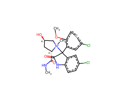 CNC(=O)[C@@H]1C[C@@H](O)C[N+]1(C)C1(c2cc(Cl)ccc2OC)C(=O)Nc2ccc(Cl)cc21